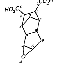 O=C(O)C1C2CC(C1C(=O)O)C1C2CC2OC21